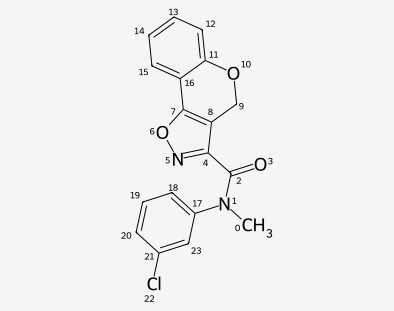 CN(C(=O)c1noc2c1COc1ccccc1-2)c1cccc(Cl)c1